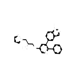 N[C@H](COc1cnc(-c2ccccc2)c(-c2ccc3[nH]ncc3c2)c1)Cn1cccn1